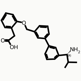 CC(C)[C@@H](N)c1cccc(-c2cccc(COc3ccccc3CC(=O)O)c2)c1